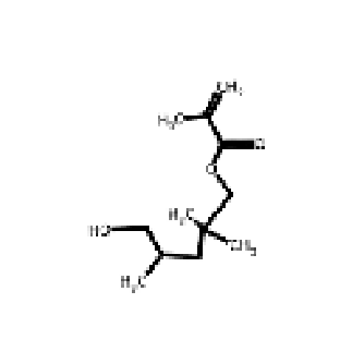 C=C(C)C(=O)OCC(C)(C)CC(C)CO